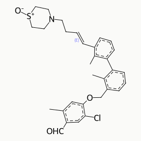 Cc1cc(OCc2cccc(-c3cccc(/C=C/CCN4CC[S+]([O-])CC4)c3C)c2C)c(Cl)cc1C=O